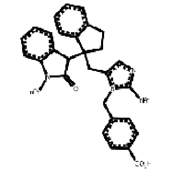 CCCc1ncc(CC2(C3C(=O)N(CCC)c4ccccc43)CCc3ccccc32)n1Cc1ccc(C(=O)O)cc1